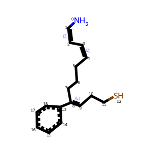 N/C=C\C=C/CCC/C(=C\CCS)c1ccccc1